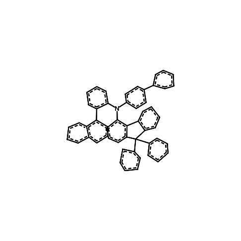 c1ccc(-c2ccc(N(c3ccccc3-c3cccc4ccccc34)c3cccc4c3-c3ccccc3C4(c3ccccc3)c3ccccc3)cc2)cc1